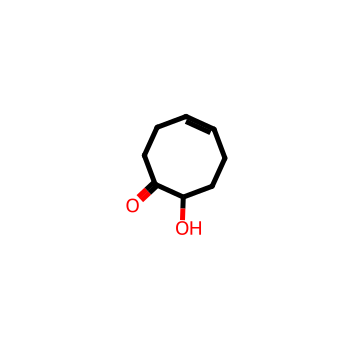 O=C1CCC=CCCC1O